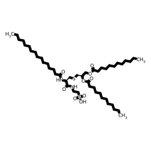 CCCCCCCCCCCCCCCC(=O)N[C@@H](CSC[C@@H](COC(=O)CCCCCCCCCCC)OC(=O)CCCCCCCCCCC)C(=O)NCCS(=O)(=O)O